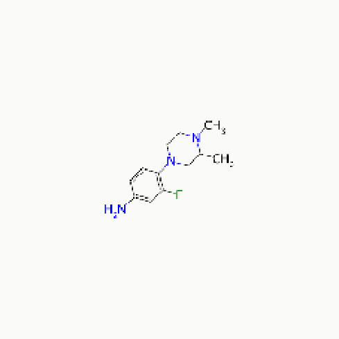 CC1CN(c2ccc(N)cc2F)CCN1C